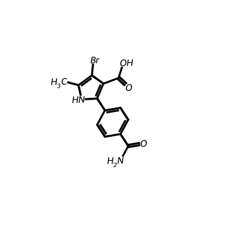 Cc1[nH]c(-c2ccc(C(N)=O)cc2)c(C(=O)O)c1Br